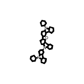 c1ccc(-n2c3ccccc3c3cc(-n4c5ccccc5c5c6oc7c(ccc8c7c7ccccc7n8-c7ccccc7)c6ccc54)ccc32)cc1